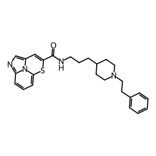 O=C(NCCCC1CCN(CCc2ccccc2)CC1)C1=Cc2cnc3cccc(n23)S1